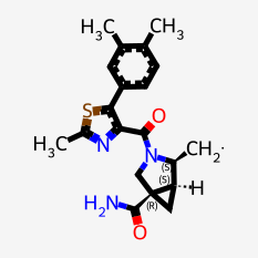 [CH2][C@H]1[C@H]2C[C@]2(C(N)=O)CN1C(=O)c1nc(C)sc1-c1ccc(C)c(C)c1